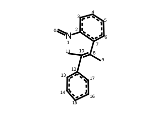 C=Nc1ccccc1/C(C)=C(\C)c1ccccc1